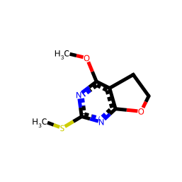 COc1nc(SC)nc2c1CCO2